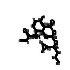 C=CC(=O)Nc1ccc(C)c2c(=O)oc(OC(CCC)C3CC3)nc12